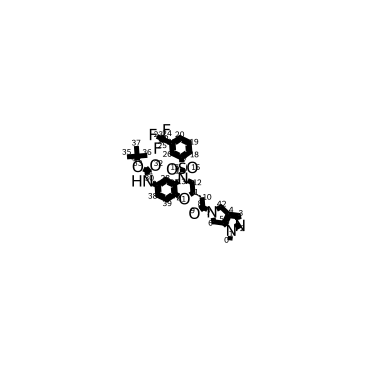 Cn1ncc2c1CN(C(=O)C[C@H]1CN(S(=O)(=O)c3cccc(C(F)(F)F)c3)c3cc(NC(=O)OC(C)(C)C)ccc3O1)C2